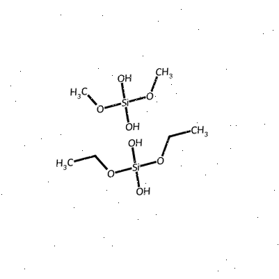 CCO[Si](O)(O)OCC.CO[Si](O)(O)OC